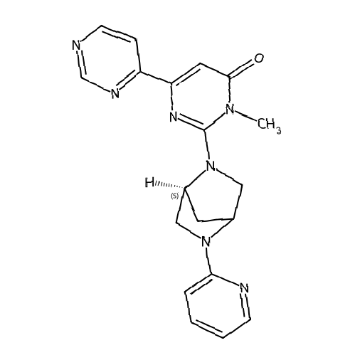 Cn1c(N2CC3C[C@H]2CN3c2ccccn2)nc(-c2ccncn2)cc1=O